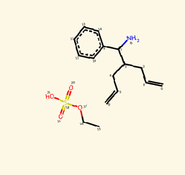 C=CCC(CC=C)C(N)c1ccccc1.CCOS(=O)(=O)O